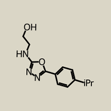 CC(C)c1ccc(-c2nnc(NCCO)o2)cc1